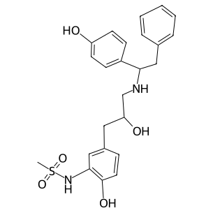 CS(=O)(=O)Nc1cc(CC(O)CNC(Cc2ccccc2)c2ccc(O)cc2)ccc1O